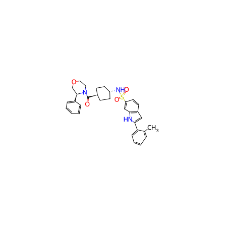 Cc1ccccc1-c1cc2ccc(S(=O)(=O)N[C@H]3CC[C@H](C(=O)N4CCOC[C@@H]4c4ccccc4)CC3)cc2[nH]1